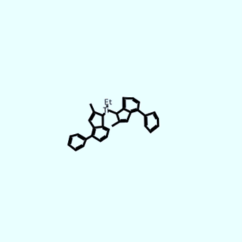 C[CH2][Ti]([CH]1C(C)=Cc2c(-c3ccccc3)cccc21)[CH]1C(C)=Cc2c(-c3ccccc3)cccc21